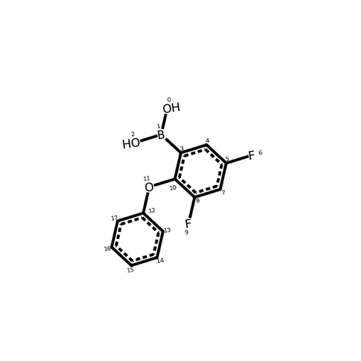 OB(O)c1cc(F)cc(F)c1Oc1ccccc1